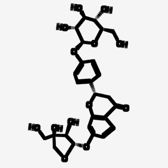 O=C1C[C@@H](c2ccc(O[C@@H]3O[C@H](CO)[C@@H](O)[C@H](O)[C@H]3O)cc2)Oc2cc(O[C@@H]3OC[C@](O)(CO)[C@H]3O)ccc21